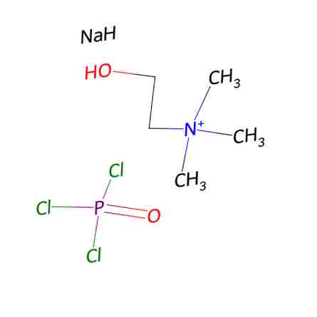 C[N+](C)(C)CCO.O=P(Cl)(Cl)Cl.[NaH]